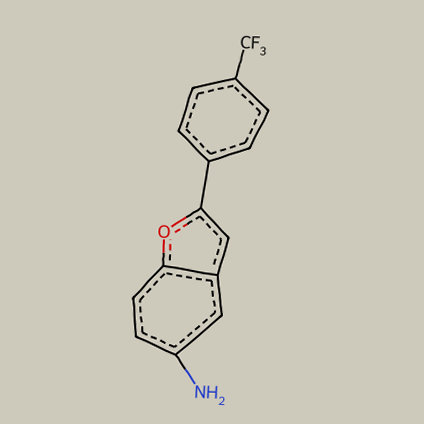 Nc1ccc2oc(-c3ccc(C(F)(F)F)cc3)cc2c1